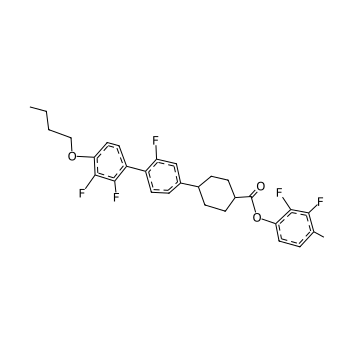 CCCCOc1ccc(-c2ccc(C3CCC(C(=O)Oc4ccc(C)c(F)c4F)CC3)cc2F)c(F)c1F